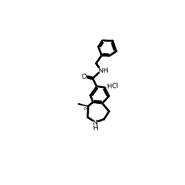 C[C@@H]1CNCCc2ccc(C(=O)NCc3ccccc3)cc21.Cl